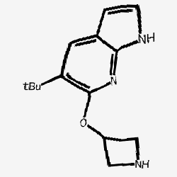 CC(C)(C)c1cc2cc[nH]c2nc1OC1CNC1